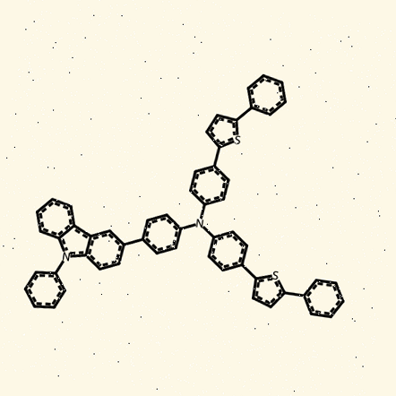 c1ccc(-c2ccc(-c3ccc(N(c4ccc(-c5ccc6c(c5)c5ccccc5n6-c5ccccc5)cc4)c4ccc(-c5ccc(-c6ccccc6)s5)cc4)cc3)s2)cc1